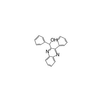 OC(c1ccccc1)c1nc2ccccc2nc1-c1ccccc1